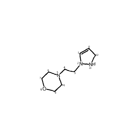 [C]1=CN(CCN2CCOCC2)NC1